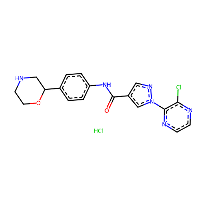 Cl.O=C(Nc1ccc(C2CNCCO2)cc1)c1cnn(-c2nccnc2Cl)c1